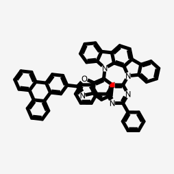 c1ccc(-c2nc(-c3ccccc3)nc(-n3c4ccccc4c4ccc5c6ccccc6n(-c6cccc7nc(-c8ccc9c%10ccccc%10c%10ccccc%10c9c8)oc67)c5c43)n2)cc1